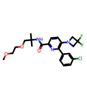 COCCOCC(C)(C)NC(=O)c1ccc(N2CC(F)(F)C2)c(-c2cccc(Cl)c2)n1